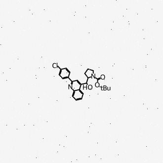 CC(C)(C)OC(=O)N1CCCC1C(O)c1cc(-c2ccc(Cl)cc2)nc2ccccc12